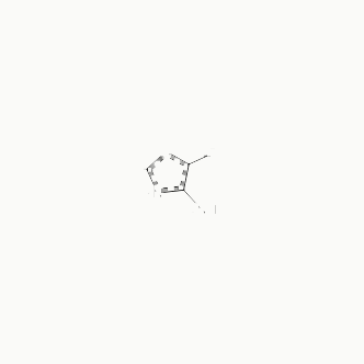 CCc1scnc1N